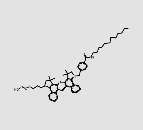 CCCCCCCCCCCCNC(=O)c1ccc(C[N+]2=c3c(c4c(c5ccccc35)=Cc3c(c5c(c6ccccc36)N(CCCSOOO)CC5(C)C)O4)C(C)(C)C2)cc1